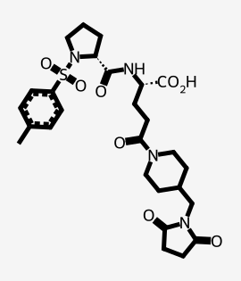 Cc1ccc(S(=O)(=O)N2CCC[C@@H]2C(=O)N[C@@H](CCC(=O)N2CCC(CN3C(=O)CCC3=O)CC2)C(=O)O)cc1